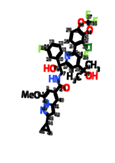 COc1cc(C(=O)NC[C@@](O)(c2cccc(F)c2)c2cc(C(C)(C)O)c(F)c(-c3ccc4c(c3Cl)OC(F)(F)O4)n2)cc2cc(C3CC3)nn12